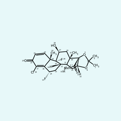 COC(=S)[C@@]12OC(C)(C)O[C@@H]1C[C@H]1[C@@H]3C[C@H](F)C4=C(Cl)C(=O)C=C[C@]4(C)[C@@]3(F)[C@@H](O)C[C@@]12C